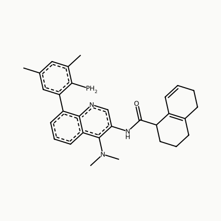 Cc1cc(C)c(P)c(-c2cccc3c(N(C)C)c(NC(=O)C4CCCC5=C4C=CCC5)cnc23)c1